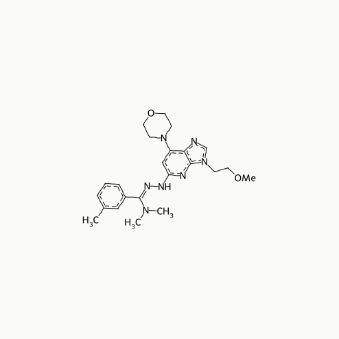 COCCn1cnc2c(N3CCOCC3)cc(N/N=C(/c3cccc(C)c3)N(C)C)nc21